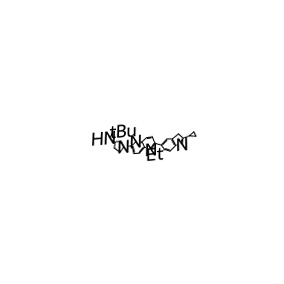 CCc1cc2c(cc1-c1ccc3nc(N4CCC(NC(C)(C)C)C4)ccc3n1)CC(C1CC1)=N2